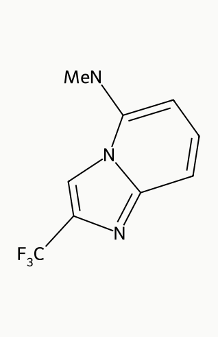 CNc1cccc2nc(C(F)(F)F)cn12